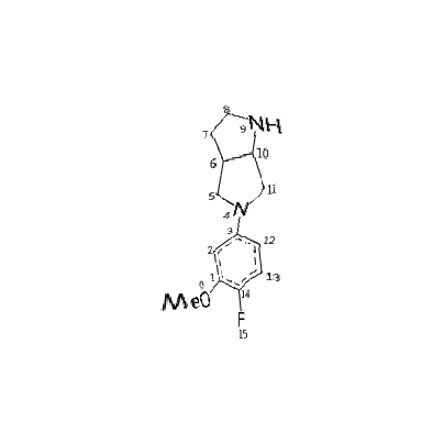 COc1cc(N2CC3CCNC3C2)ccc1F